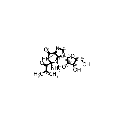 CC(C)C(=O)C1(N)N=C2C(=NCN2[C@@H]2O[C@H](CO)[C@@H](O)[C@H]2O)C(=O)N1